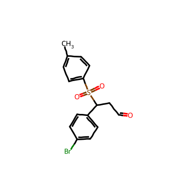 Cc1ccc(S(=O)(=O)C(CC=O)c2ccc(Br)cc2)cc1